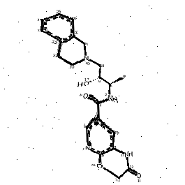 C[C@@H](NC(=O)c1cnc2c(c1)NC(=O)CO2)[C@H](O)CN1CCc2ccccc2C1